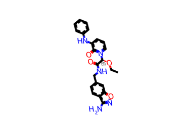 CCO[C@@H](C(=O)NCc1ccc2c(N)noc2c1)n1cccc(Nc2ccccc2)c1=O